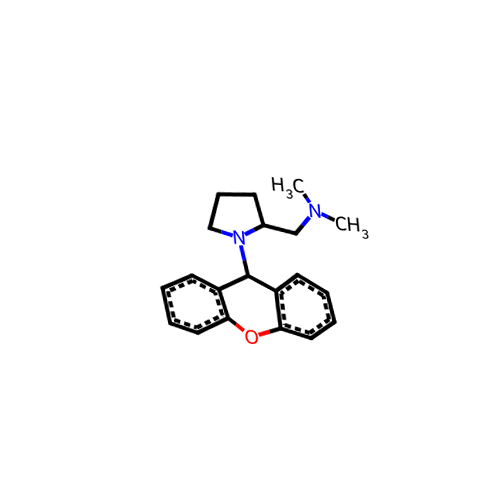 CN(C)CC1CCCN1C1c2ccccc2Oc2ccccc21